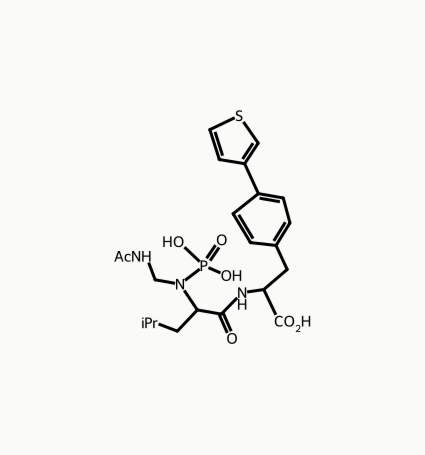 CC(=O)NCN(C(CC(C)C)C(=O)NC(Cc1ccc(-c2ccsc2)cc1)C(=O)O)P(=O)(O)O